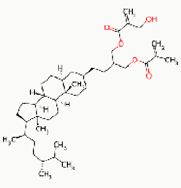 C=C(C)C(=O)OCC(CC[C@H]1CC[C@@]2(C)[C@@H](CC[C@@H]3[C@@H]2CC[C@]2(C)[C@@H]([C@H](C)CC[C@@H](C)C(C)C)CC[C@@H]32)C1)COC(=O)C(=C)CO